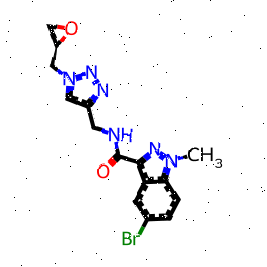 Cn1nc(C(=O)NCc2cn(C[C@H]3CO3)nn2)c2cc(Br)ccc21